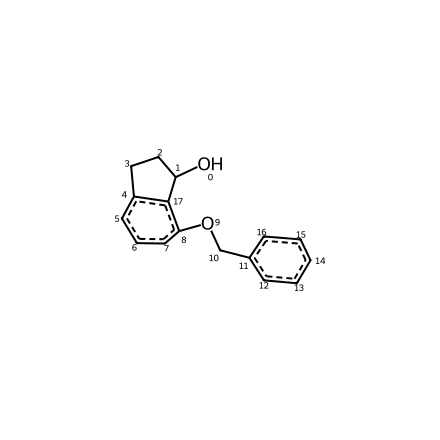 OC1CCc2cccc(OCc3ccccc3)c21